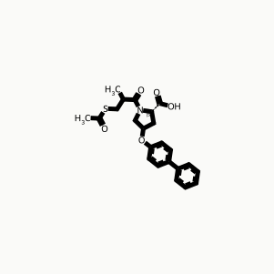 CC(=O)SCC(C)C(=O)N1CC(Oc2ccc(-c3ccccc3)cc2)C[C@H]1C(=O)O